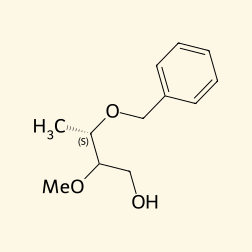 COC(CO)[C@H](C)OCc1ccccc1